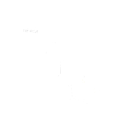 CCCCCCCCCC1C=CSS1